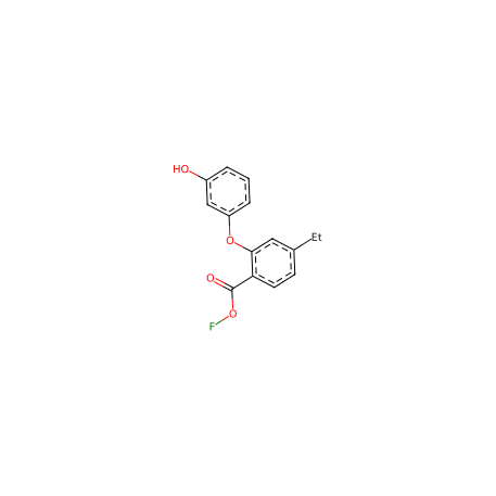 CCc1ccc(C(=O)OF)c(Oc2cccc(O)c2)c1